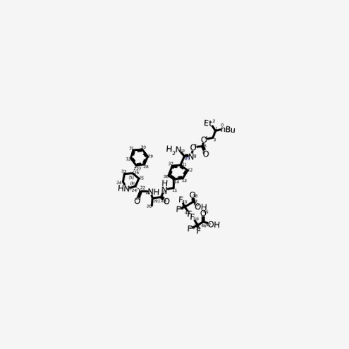 CCCCC(CC)COC(=O)O/N=C(\N)c1ccc(CNC(=O)C(C)NC(=O)[C@H]2C[C@@H](c3ccccc3)CCN2)cc1.O=C(O)C(F)(F)F.O=C(O)C(F)(F)F